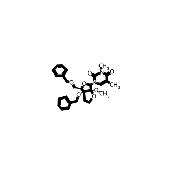 CO[C@]12OCC[C@@]1(OCc1ccccc1)[C@@H](COCc1ccccc1)OC2n1cc(C)c(=O)n(C)c1=O